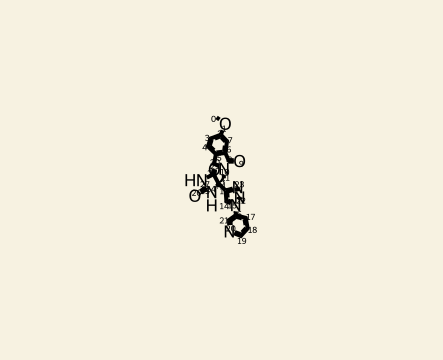 COc1ccc2c(c1)C(=O)N(C[C@@]1(c3cn(-c4cccnc4)nn3)NC(=O)NC1=O)C2